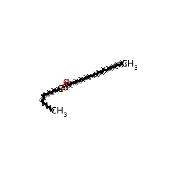 CCCCC/C=C\C/C=C\CCCCCCCCOC(=O)CCCCCCCCCCCCCCCCCCCCCCCCC